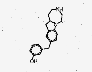 Oc1cccc(Cc2ccc3c(c2)CC2CCNCCN32)c1